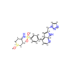 O=S(=O)(NC1CC[S+]([O-])CC1)c1ccc(-c2ccnc3[nH]c(Cn4ccnn4)cc23)cc1